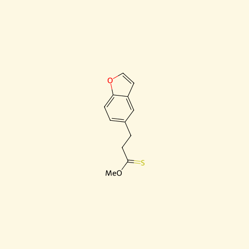 COC(=S)CCc1ccc2occc2c1